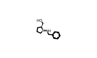 OC[C@@H]1CCCN1NCc1ccccc1